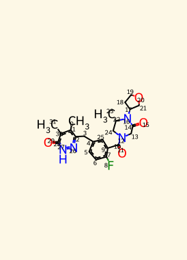 Cc1c(Cc2ccc(F)c(C(=O)N3CC(=O)N([C@H]4CCOC4)[C@@H](C)C3)c2)n[nH]c(=O)c1C